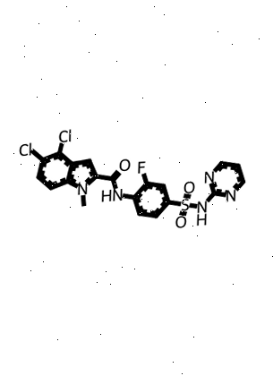 Cn1c(C(=O)Nc2ccc(S(=O)(=O)Nc3ncccn3)cc2F)cc2c(Cl)c(Cl)ccc21